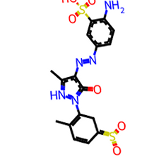 CC1=C(n2[nH]c(C)c(N=Nc3ccc(N)c(S(=O)(=O)O)c3)c2=O)CC(=S(=O)=O)C=C1